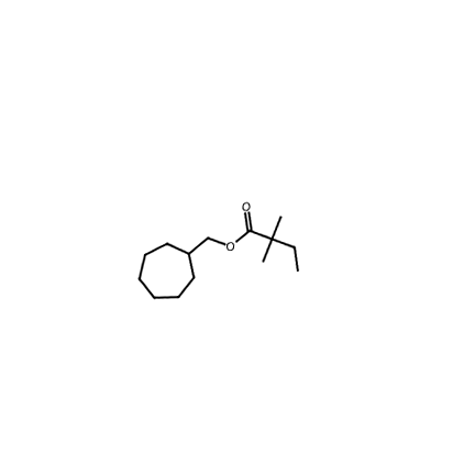 CCC(C)(C)C(=O)OCC1CCCCCC1